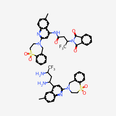 Cc1ccc2nc(N3CCS(=O)(=O)c4ccccc4C3)cc(C(N)CC(N)C(F)(F)F)c2c1.Cc1ccc2nc(N3CCS(=O)(=O)c4ccccc4C3)cc(NC(=O)CC(N3C(=O)c4ccccc4C3=O)C(F)(F)F)c2c1